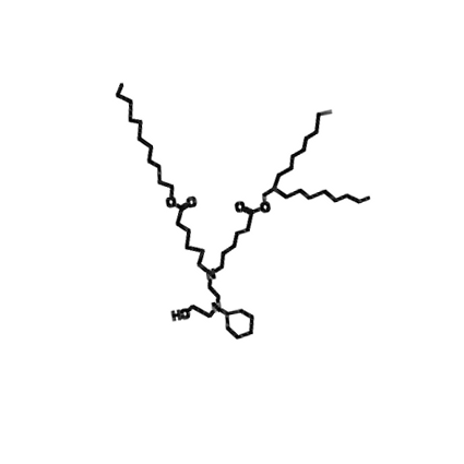 CCCCCCCCCCCOC(=O)CCCCCN(CCCCCC(=O)OCC(CCCCCCCC)CCCCCCCC)CCN(CCO)C1CCCCC1